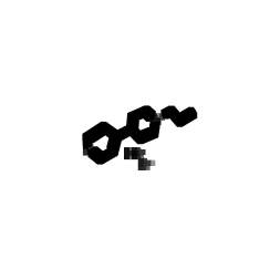 Br.C=CC[n+]1ccc(-c2ccncc2)cc1.[Br-]